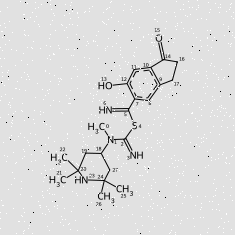 CN(C(=N)SC(=N)c1cc2c(cc1O)C(=O)CC2)C1CC(C)(C)NC(C)(C)C1